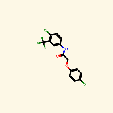 O=C(COc1ccc(Br)cc1)Nc1ccc(Cl)c(C(F)(F)F)c1